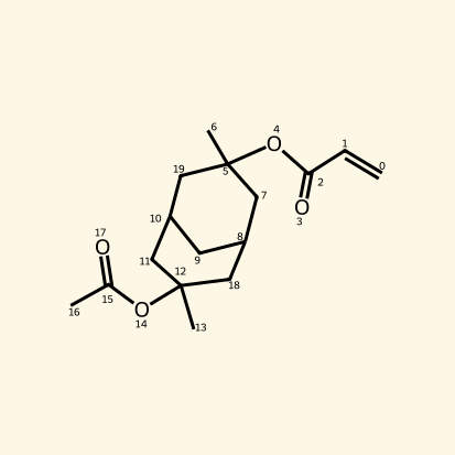 C=CC(=O)OC1(C)CC2CC(CC(C)(OC(C)=O)C2)C1